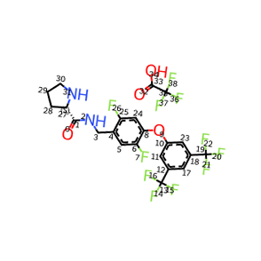 O=C(NCc1cc(F)c(Oc2cc(C(F)(F)F)cc(C(F)(F)F)c2)cc1F)[C@@H]1CCCN1.O=C(O)C(F)(F)F